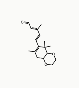 CC(C=CC1=C(C)CC2OCCOC2C1(C)C)=CC=O